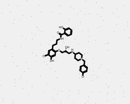 O=C(NCCCc1cc(Cl)c(O)cc1OC[C@H](O)CNC1CCN(Cc2ccc(Cl)cc2)CC1)c1ccccc1O